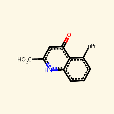 CCCc1cccc2[nH]c(C(=O)O)cc(=O)c12